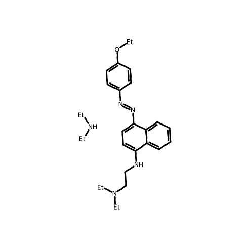 CCNCC.CCOc1ccc(N=Nc2ccc(NCCN(CC)CC)c3ccccc23)cc1